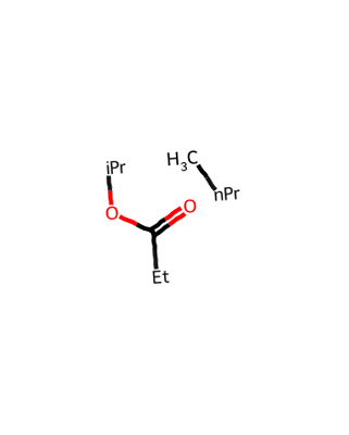 CCC(=O)OC(C)C.CCCC